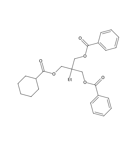 CCC(COC(=O)c1ccccc1)(COC(=O)c1ccccc1)COC(=O)C1CCCCC1